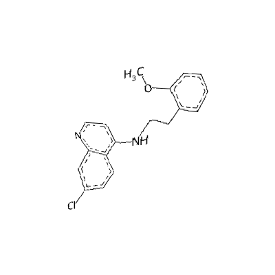 COc1ccccc1CCNc1ccnc2cc(Cl)ccc12